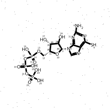 Nc1nc(S)c2ncn([C@@H]3O[C@H](COP(=O)(O)OP(=O)(O)OP(=O)(O)O)[C@H](O)C3O)c2n1